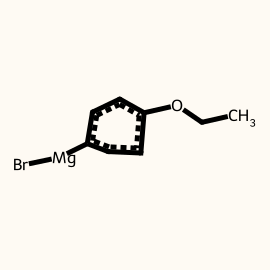 CCOc1cc[c]([Mg][Br])cc1